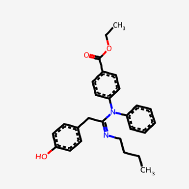 CCCCN=C(Cc1ccc(O)cc1)N(c1ccccc1)c1ccc(C(=O)OCC)cc1